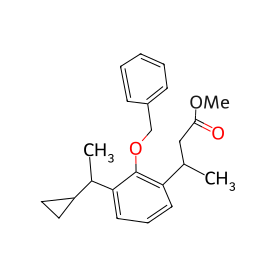 COC(=O)CC(C)c1cccc(C(C)C2CC2)c1OCc1ccccc1